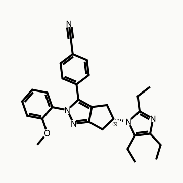 CCc1nc(CC)n([C@@H]2Cc3nn(-c4ccccc4OC)c(-c4ccc(C#N)cc4)c3C2)c1CC